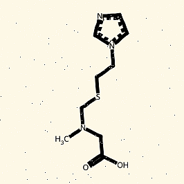 CN(CSCCn1ccnc1)CC(=O)O